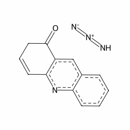 O=C1CC=Cc2nc3ccccc3cc21.[N-]=[N+]=N